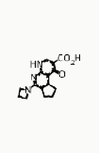 O=C(O)c1c[nH]c2nc(N3CCC3)c3c(c2c1=O)CCC3